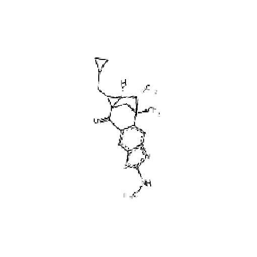 CNc1nc2cc3c(cc2s1)C(=O)C12C[C@]3(C)[C@@H](C)[C@@H]1C2CC1CC1